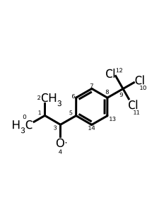 CC(C)C([O])c1ccc(C(Cl)(Cl)Cl)cc1